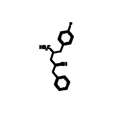 N=C(Cc1ccccc1)CC(Cc1ccc(F)cc1)C(=O)O